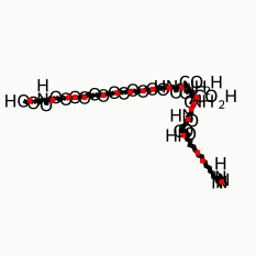 O=C(CCCS(=O)(=O)NC(=O)CCCCCCCCCCCCCCCc1nnn[nH]1)NCCCC(=O)N[C@@H](CCC(=O)N[C@@H](CCC(=O)NCCOCCOCCOCCOCCOCCOCCOCCOCCOCCOCCOCCOCCC(=O)NCCOCCO)C(=O)O)C(=O)O